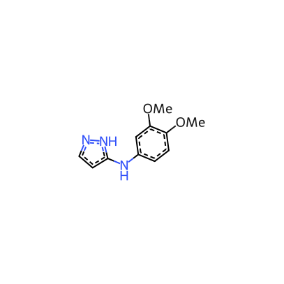 COc1ccc(Nc2ccn[nH]2)cc1OC